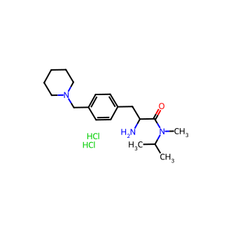 CC(C)N(C)C(=O)C(N)Cc1ccc(CN2CCCCC2)cc1.Cl.Cl